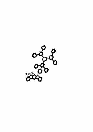 CC1(C)c2ccccc2-c2cc3c4ccccc4n(-c4ccc(-c5c(-c6ccccc6)cc(C6=CC(c7cc(-c8ccccc8)nc(-c8ccccc8)c7)=CC(c7cc(-c8ccccc8)nc(-c8ccccc8)c7)C6)cc5-c5ccccc5)cc4)c3cc21